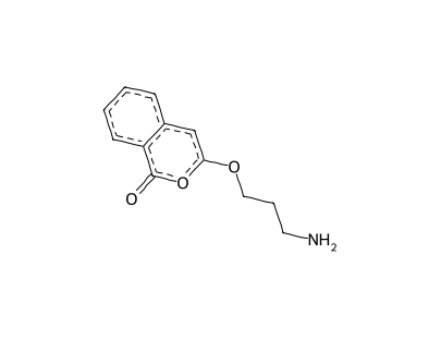 NCCCOc1cc2ccccc2c(=O)o1